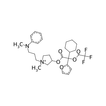 CN(CCC[N+]1(C)CCC(OC(=O)C(OC(=O)C(F)(F)F)(c2ccco2)C2CCCCC2)C1)c1ccccc1